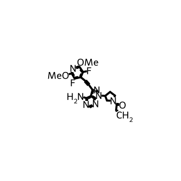 C=CC(=O)N1CCC(n2nc(C#Cc3c(F)c(OC)nc(OC)c3F)c3c(N)ncnc32)C1